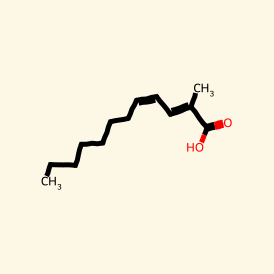 CCCCCCC/C=C\C=C(/C)C(=O)O